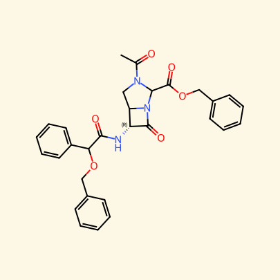 CC(=O)N1CC2[C@@H](NC(=O)C(OCc3ccccc3)c3ccccc3)C(=O)N2C1C(=O)OCc1ccccc1